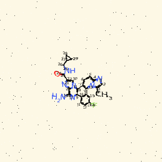 Cc1cnc2ccc(-c3c(-c4ccc(F)cc4)nc(N)c4nc(C(=O)NCC5CC5)cn34)cn12